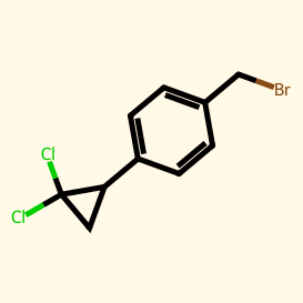 ClC1(Cl)CC1c1ccc(CBr)cc1